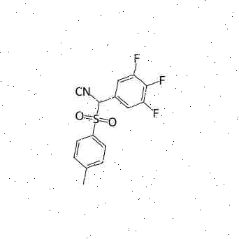 [C-]#[N+]C(c1cc(F)c(F)c(F)c1)S(=O)(=O)c1ccc(C)cc1